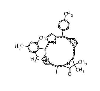 Cc1ccc(-c2c3nc(c(-c4c(C)cc(C)cc4C)c4ccc([nH]4)c(I)c4nc(cc5ccc2[nH]5)C(C)(C)C4=O)C=C3)cc1